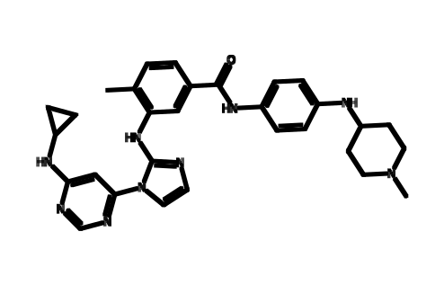 Cc1ccc(C(=O)Nc2ccc(NC3CCN(C)CC3)cc2)cc1Nc1nccn1-c1cc(NC2CC2)ncn1